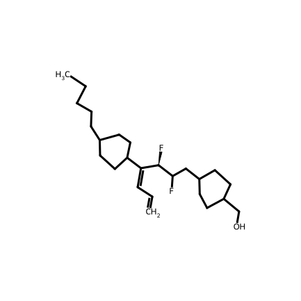 C=C/C=C(/C1CCC(CCCCC)CC1)[C@@H](F)C(F)CC1CCC(CO)CC1